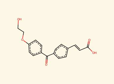 O=C(O)C=Cc1ccc(C(=O)c2ccc(OCCO)cc2)cc1